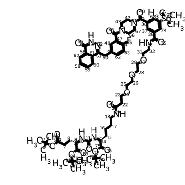 CC(C)(C)OC(=O)CC[C@H](NC(=O)N[C@@H](CCCCNC(=O)CCOCCOCCOCCNC(=O)c1cc(C(=O)N2CCN(C(=O)c3cc(Cc4n[nH]c(=O)c5ccccc45)ccc3F)CC2)c[c]([Sn]([CH3])([CH3])[CH3])c1)C(=O)OC(C)(C)C)C(=O)OC(C)(C)C